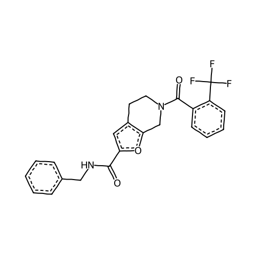 O=C(NCc1ccccc1)c1cc2c(o1)CN(C(=O)c1ccccc1C(F)(F)F)CC2